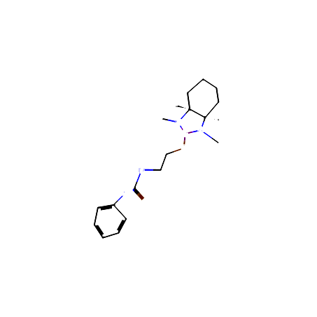 CN1[C@@H]2CCCC[C@H]2N(C)P1SCCNC(=S)Nc1ccccc1